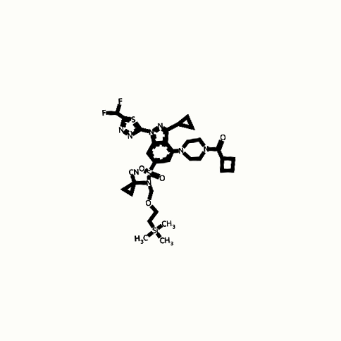 C[Si](C)(C)CCOCN(C1(C#N)CC1)S(=O)(=O)c1cc(N2CCN(C(=O)C3CCC3)CC2)c2c(C3CC3)nn(-c3nnc(C(F)F)s3)c2c1